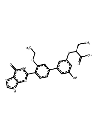 CCOc1cc(-c2cc(O)cc(O[C@@H](CC)C(=O)O)c2)ccc1-c1nc2[nH]cnc2c(=O)[nH]1